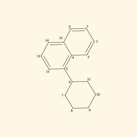 [c]1cccc2c(C3CCCCC3)cccc12